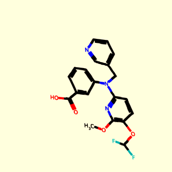 COc1nc(N(Cc2cccnc2)c2cccc(C(=O)O)c2)ccc1OC(F)F